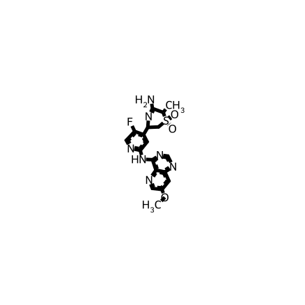 COc1cnc2c(Nc3cc(C4CS(=O)(=O)C(C)C(N)=N4)c(F)cn3)ncnc2c1